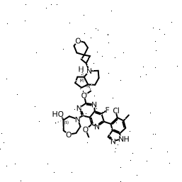 COc1nc(-c2c(Cl)c(C)cc3[nH]ncc23)c(F)c2nc(OC[C@]34CCC[C@H]3N(C3CC5(CCOCC5)C3)CCC4)nc(N3CCOC[C@@](C)(O)C3)c12